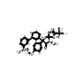 COc1ccc(C2(c3cccc(-c4cccc(OC)c4)c3)NC(N)(OC(=O)C(F)(F)F)N(C)C2=O)cc1